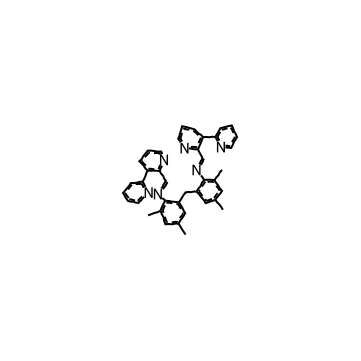 Cc1cc(C)c(N=Cc2ncccc2-c2ccccn2)c(Cc2cc(C)cc(C)c2N=Cc2ncccc2-c2ccccn2)c1